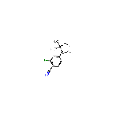 C[C@@H](c1ccc(C#N)c(F)c1)C(C)(C)C